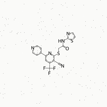 N#Cc1c(C(F)(F)F)cc(-c2ccncc2)nc1SCC(=O)Nc1nccs1